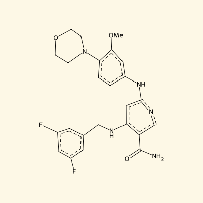 COc1cc(Nc2cc(NCc3cc(F)cc(F)c3)c(C(N)=O)cn2)ccc1N1CCOCC1